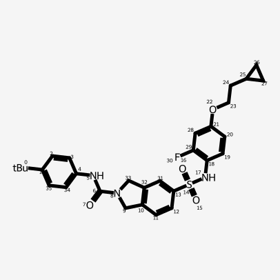 CC(C)(C)c1ccc(NC(=O)N2Cc3ccc(S(=O)(=O)Nc4ccc(OCCC5CC5)cc4F)cc3C2)cc1